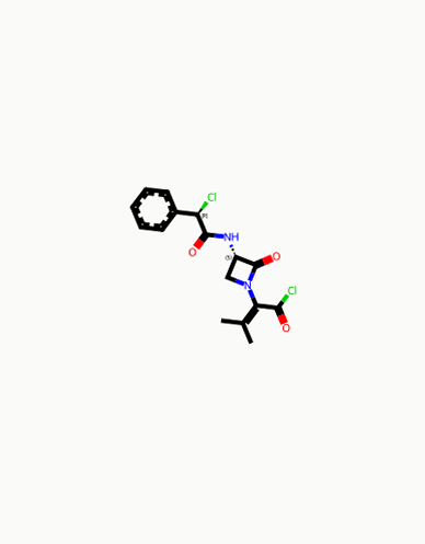 CC(C)=C(C(=O)Cl)N1C[C@H](NC(=O)[C@H](Cl)c2ccccc2)C1=O